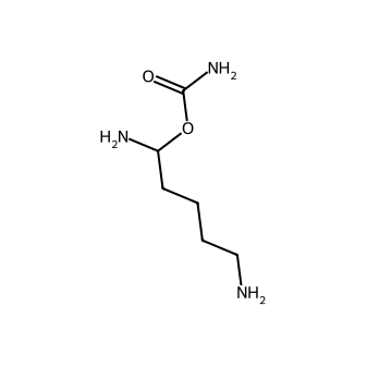 NCCCCC(N)OC(N)=O